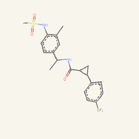 Cc1cc(C(C)NC(=O)C2CC2c2ccc(C(F)(F)F)cc2)ccc1NS(C)(=O)=O